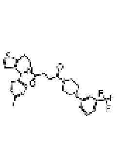 Cc1ccc(C2c3ccsc3CCN2C(=O)CCC(=O)N2CCN(c3cccc(C(F)(F)F)c3)CC2)cc1